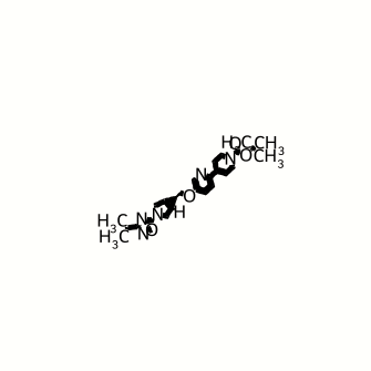 CC(C)c1noc(N2CC3[C@@H](COc4ccc(C5=CCN(C(=O)OC(C)(C)C)CC5)nc4)[C@@H]3C2)n1